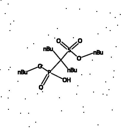 CCCCOP(=O)(O)C(CCCC)(CCCC)S(=O)(=O)OCCCC